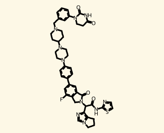 O=C1CCN(c2cccc(CN3CCC(N4CCN(c5ccc(-c6cc(F)c7c(c6)C(=O)N(C(C(=O)Nc6nccs6)c6ncn8c6CCC8)C7)cc5)CC4)CC3)c2)C(=O)N1